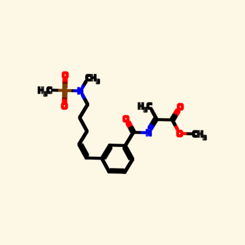 COC(=O)/C(C)=N/C(=O)c1cccc(/C=C\CCCN(C)S(C)(=O)=O)c1